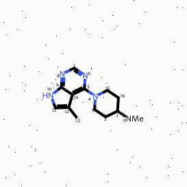 CNC1CCN(c2ncnc3[nH]cc(C)c23)CC1